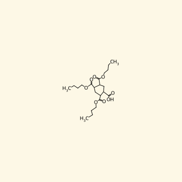 CCCCOC(=O)C1CC(C(=O)OCCCC)C(C(=O)OCCCC)CC1C(=O)O